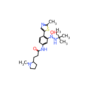 Cc1ncc(-c2ccc(NC(=O)CCC3CCCN3C)cc2N(O)NC(C)(C)C)s1